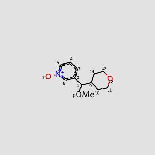 COC(c1ccc[n+]([O-])c1)C1CCOCC1